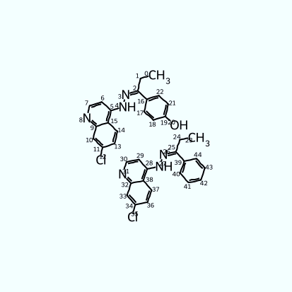 CCC(=NNc1ccnc2cc(Cl)ccc12)c1ccc(O)cc1.CCC(=NNc1ccnc2cc(Cl)ccc12)c1ccccc1